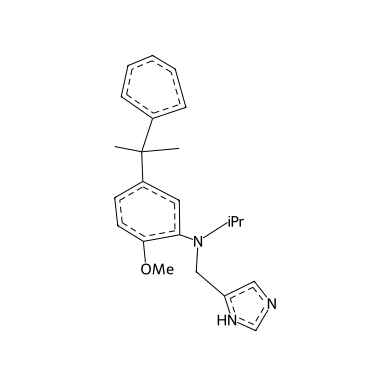 COc1ccc(C(C)(C)c2ccccc2)cc1N(Cc1cnc[nH]1)C(C)C